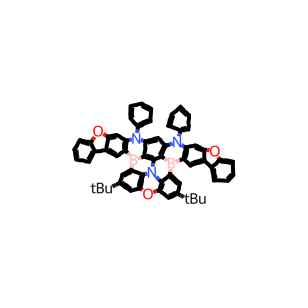 CC(C)(C)c1cc2c3c(c1)B1c4cc5c(cc4N(c4ccccc4)c4cc6c7c(c41)N3c1c(cc(C(C)(C)C)cc1B7c1cc3c(cc1N6c1ccccc1)oc1ccccc13)O2)oc1ccccc15